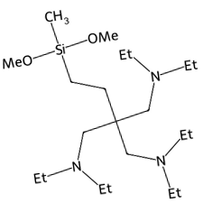 CCN(CC)CC(CC[Si](C)(OC)OC)(CN(CC)CC)CN(CC)CC